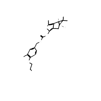 Cc1cc(CNC(=O)Oc2sc(C)c3c2C[C@@H]2[C@H]3C2(C)C)ccc1OCCO